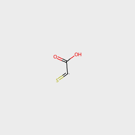 O=C(O)[C]=S